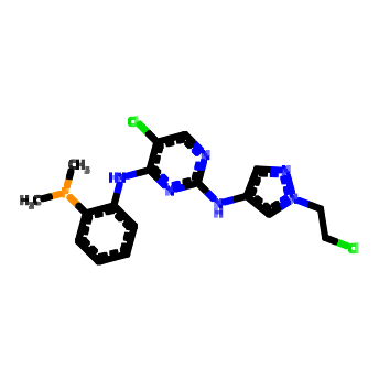 CP(C)c1ccccc1Nc1nc(Nc2cnn(CCCl)c2)ncc1Cl